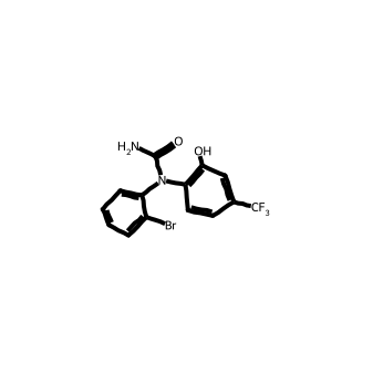 NC(=O)N(c1ccc(C(F)(F)F)cc1O)c1ccccc1Br